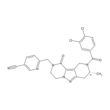 C[C@@H]1Cc2nn3c(c2CN1C(=O)c1ccc(Cl)c(Cl)c1)C(=O)N(Cc1ccc(C#N)cn1)CC3